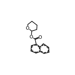 O=C(OC1CCCCO1)c1cccc2ccccc12